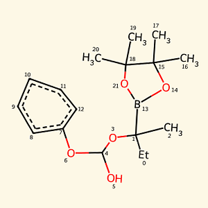 CCC(C)(OC(O)Oc1ccccc1)B1OC(C)(C)C(C)(C)O1